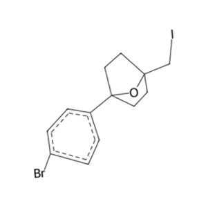 Brc1ccc(C23CCC(CI)(CC2)O3)cc1